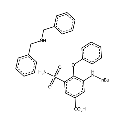 CCCCNc1cc(C(=O)O)cc(S(N)(=O)=O)c1Oc1ccccc1.c1ccc(CNCc2ccccc2)cc1